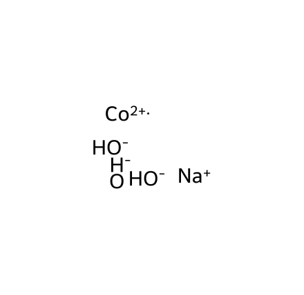 [Co+2].[Na+].[OH-].[OH-].[OH-]